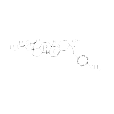 C=CC[C@]1(C(C)=O)CC[C@H]2[C@@H]3CC=C4CC(O)(OCc5ccc(C)cc5)CC[C@]4(C)[C@H]3CC[C@@]21C